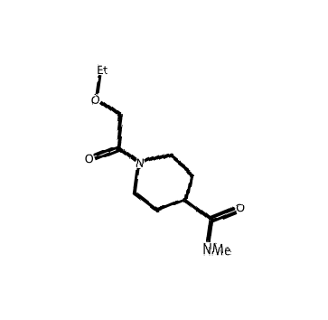 CCOCC(=O)N1CCC(C(=O)NC)CC1